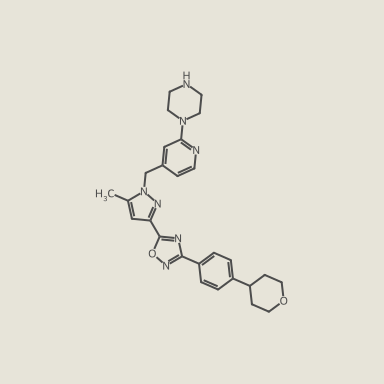 Cc1cc(-c2nc(-c3ccc(C4CCOCC4)cc3)no2)nn1Cc1ccnc(N2CCNCC2)c1